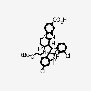 CC(C)(C)OCCN1[C@H]2CCn3c(nc4cc(C(=O)O)ccc43)[C@H]2[C@H](c2cccc(Cl)c2F)[C@]12C(=O)Nc1cc(Cl)ccc12